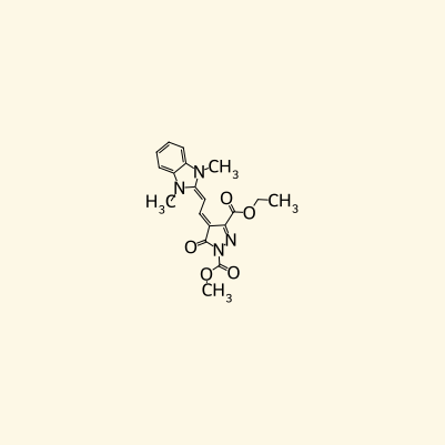 CCOC(=O)C1=NN(C(=O)OC)C(=O)/C1=C/C=C1N(C)c2ccccc2N1C